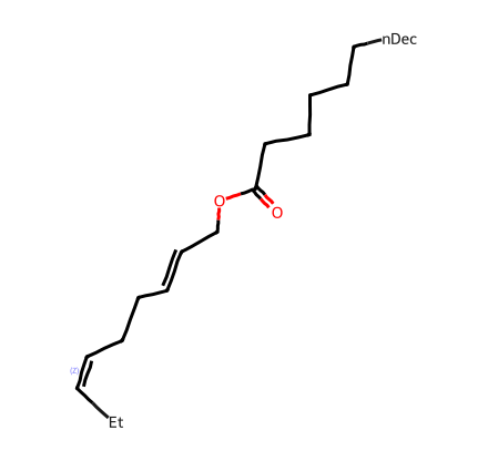 CC/C=C\CCC=CCOC(=O)CCCCCCCCCCCCCCC